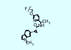 C[C@@H](NC(=O)[C@@H]1C[C@H]1c1ccc2ccn(C)c2c1)c1ccc(OCC(F)(F)F)cn1